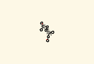 c1ccc(-c2ccc(-c3nc(-c4cccc5c4oc4cccc(-c6nc(-c7ccccc7)nc(-c7ccccc7)n6)c45)nc4c3sc3ccccc34)cc2)cc1